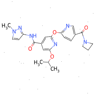 CC(C)Oc1cc(C(=O)Nc2ccn(C)n2)cc(Oc2ccc(C(=O)N3CCC3)cn2)n1